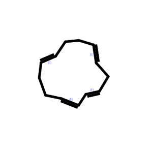 C1=C/C/C=C/CC/C=C/CC/C=C/1